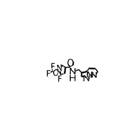 O=C(NCc1cnn2ncccc12)c1cnc(OC(F)F)c(F)c1